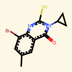 Cc1cc(Br)c2nc(S)n(C3CC3)c(=O)c2c1